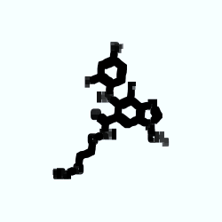 Cn1cnc2c(F)c(Nc3ccc(Br)cc3F)c(C(=O)NOCCOC(C)(C)C)cc21